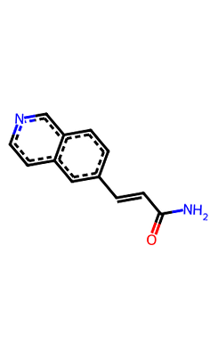 NC(=O)/C=C/c1ccc2cnccc2c1